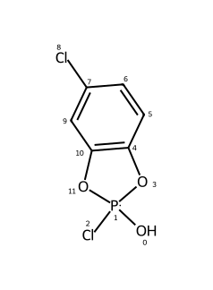 O[P]1(Cl)Oc2ccc(Cl)cc2O1